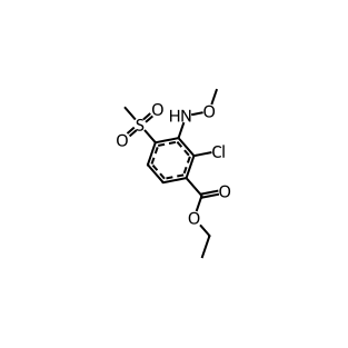 CCOC(=O)c1ccc(S(C)(=O)=O)c(NOC)c1Cl